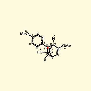 COC1=CC2CC(c3ccc(OC)cc3)[C@@H]1C(=O)C2(C)O